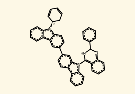 C1=CC[C@@H](n2c3ccccc3c3cc(-c4ccc5c6ccccc6n(C6=c7ccccc7=NC(c7ccccc7)N6)c5c4)ccc32)C=C1